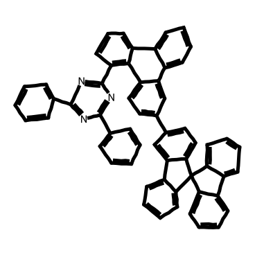 c1ccc(-c2nc(-c3ccccc3)nc(-c3cccc4c5ccccc5c5cc(-c6ccc7c(c6)-c6ccccc6C76c7ccccc7-c7ccccc76)ccc5c34)n2)cc1